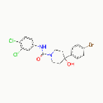 O=C(Nc1ccc(Cl)c(Cl)c1)N1CCC(O)(c2ccc(Br)cc2)CC1